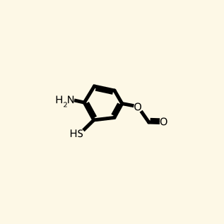 Nc1ccc(OC=O)cc1S